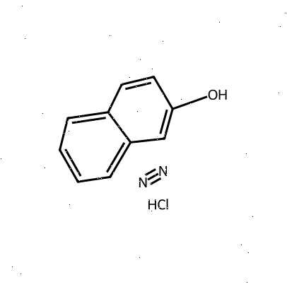 Cl.N#N.Oc1ccc2ccccc2c1